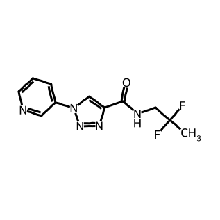 CC(F)(F)CNC(=O)c1cn(-c2cccnc2)nn1